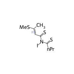 CCCC(=S)N(I)C(=S)/C=C(\C)SC